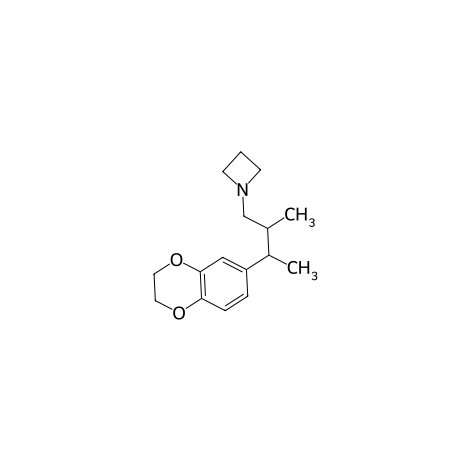 CC(CN1CCC1)C(C)c1ccc2c(c1)OCCO2